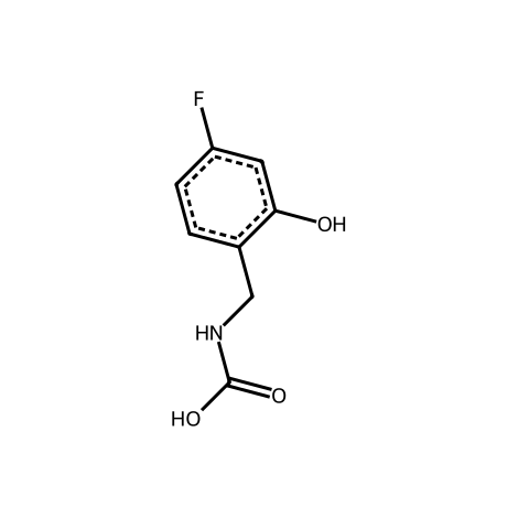 O=C(O)NCc1ccc(F)cc1O